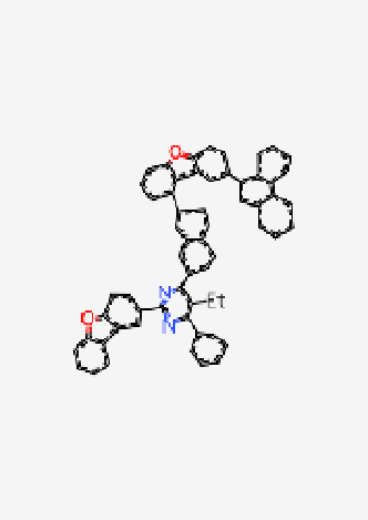 CCc1c(-c2ccccc2)nc(-c2ccc3oc4ccccc4c3c2)nc1-c1ccc2ccc(-c3cccc4oc5ccc(-c6cc7ccccc7c7ccccc67)cc5c34)cc2c1